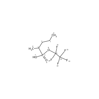 CCCC(C)P(=O)(O)OC(F)(F)C(F)(F)F